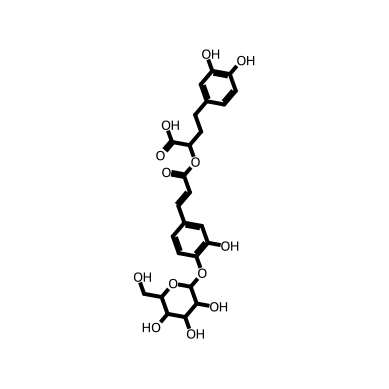 O=C(/C=C/c1ccc(OC2OC(CO)C(O)C(O)C2O)c(O)c1)OC(CCc1ccc(O)c(O)c1)C(=O)O